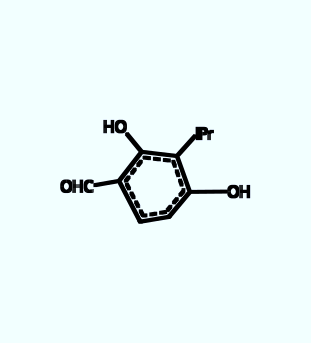 CC(C)c1c(O)ccc(C=O)c1O